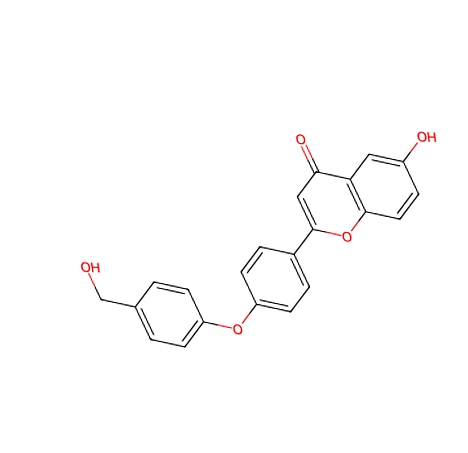 O=c1cc(-c2ccc(Oc3ccc(CO)cc3)cc2)oc2ccc(O)cc12